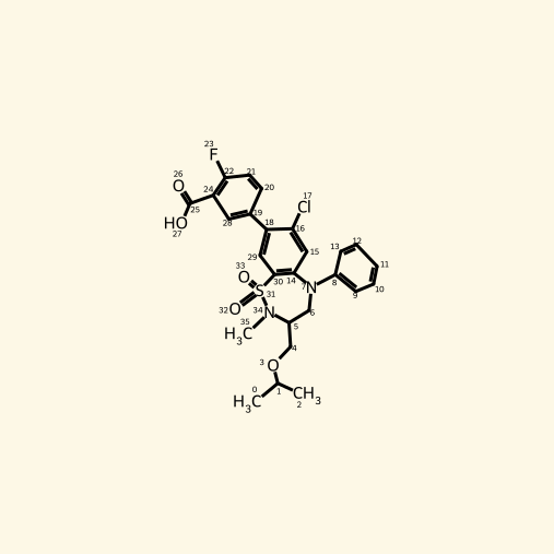 CC(C)OCC1CN(c2ccccc2)c2cc(Cl)c(-c3ccc(F)c(C(=O)O)c3)cc2S(=O)(=O)N1C